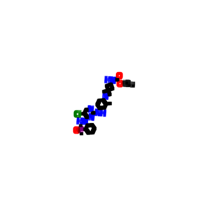 Cc1cc(Nc2ncc(Cl)c(Nc3ccccc3P(C)(C)=O)n2)ccc1N1CC2(CC(NC(=O)OC(C)(C)C)C2)C1